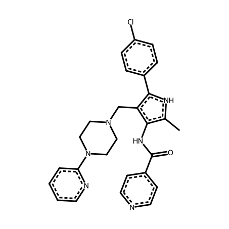 Cc1[nH]c(-c2ccc(Cl)cc2)c(CN2CCN(c3ccccn3)CC2)c1NC(=O)c1ccncc1